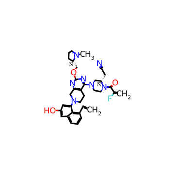 C=Cc1cccc2cc(O)cc(N3CCc4c(nc(OC[C@@H]5CCCN5C)nc4N4CCN(C(=O)C(=C)F)[C@@H](CC#N)C4)C3)c12